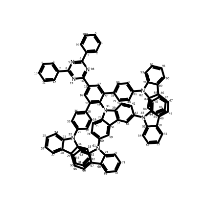 c1ccc(-c2nc(-c3ccccc3)nc(-c3cc(-c4ccc(-n5c6ccccc6c6ccccc65)cc4)c(-n4c5ccc(-n6c7ccccc7c7ccccc76)cc5c5cc(-n6c7ccccc7c7ccccc76)ccc54)c(-c4ccc(-n5c6ccccc6c6ccccc65)cc4)c3)n2)cc1